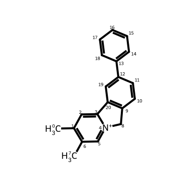 Cc1cc2[n+](cc1C)Cc1ccc(-c3ccccc3)cc1-2